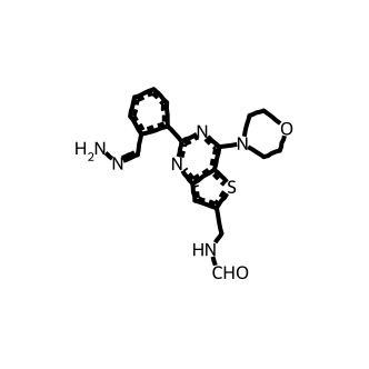 N/N=C\c1ccccc1-c1nc(N2CCOCC2)c2sc(CNC=O)cc2n1